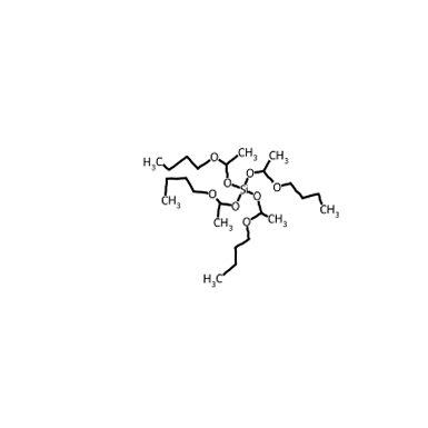 CCCCOC(C)O[Si](OC(C)OCCCC)(OC(C)OCCCC)OC(C)OCCCC